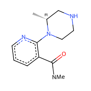 CNC(=O)c1cccnc1N1CCNC[C@H]1C